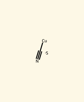 N#[C][Cu].[S]